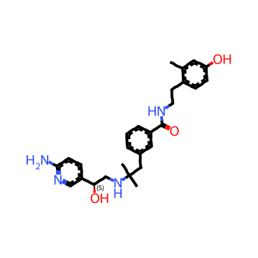 Cc1cc(O)ccc1CCNC(=O)c1cccc(CC(C)(C)NC[C@@H](O)c2ccc(N)nc2)c1